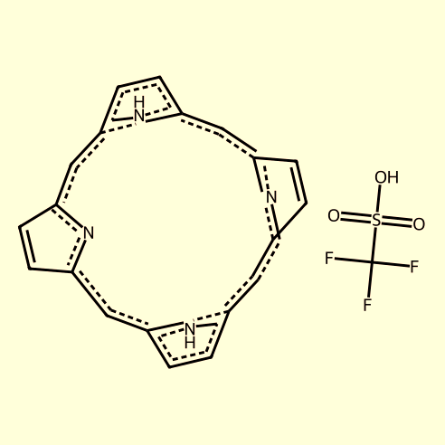 C1=Cc2cc3ccc(cc4nc(cc5ccc(cc1n2)[nH]5)C=C4)[nH]3.O=S(=O)(O)C(F)(F)F